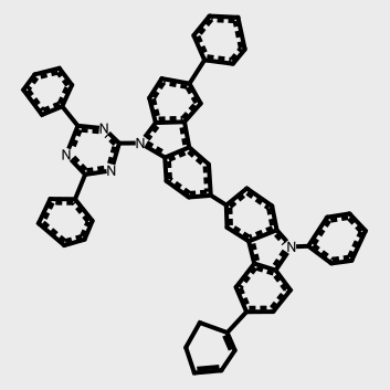 C1=CCCC(c2ccc3c(c2)c2cc(-c4ccc5c(c4)c4cc(-c6ccccc6)ccc4n5-c4nc(-c5ccccc5)nc(-c5ccccc5)n4)ccc2n3-c2ccccc2)=C1